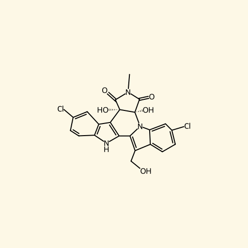 CN1C(=O)[C@@]2(O)n3c(c(CO)c4ccc(Cl)cc43)-c3[nH]c4ccc(Cl)cc4c3[C@@]2(O)C1=O